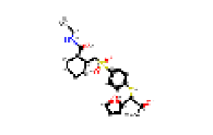 CNC(=O)C(Sc1ccc(S(=O)(=O)CC2CCCCC2C(=O)NCC#N)cc1)c1ccco1